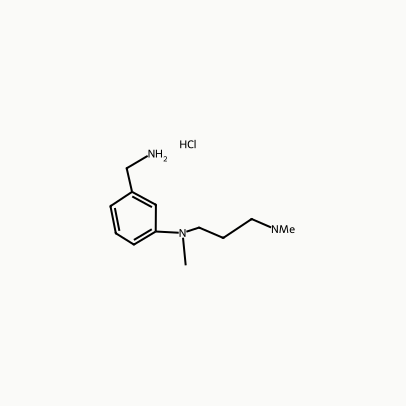 CNCCCN(C)c1cccc(CN)c1.Cl